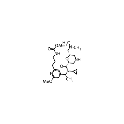 COC(=O)NCCCc1cc([C@H](C)N(C(=O)[C@H]2CNC[C@@H](CN(C)C)O2)C2CC2)cc(OC)n1